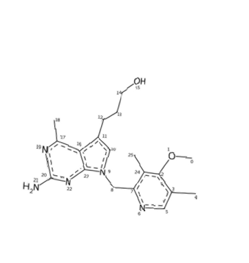 COc1c(C)cnc(Cn2cc(CCCO)c3c(C)nc(N)nc32)c1C